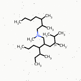 CCCCC(C)C(C)CN(C)CC(C[C@H](C)C(C)C)C(CCC)C(C)CC